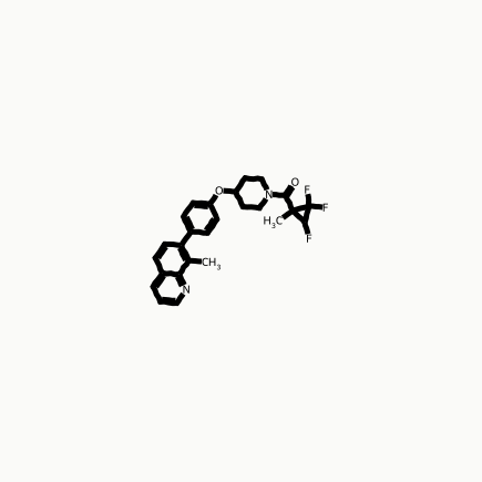 Cc1c(-c2ccc(OC3CCN(C(=O)C4(C)C(F)C4(F)F)CC3)cc2)ccc2cccnc12